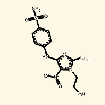 Cc1nc(Nc2ccc(S(N)(=O)=O)cc2)c([N+](=O)[O-])n1CCO